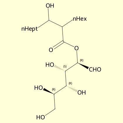 CCCCCCCC(O)C(CCCCCC)C(=O)O[C@@H](C=O)[C@@H](O)[C@H](O)[C@H](O)CO